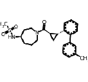 Cc1cccc(-c2ccccc2[C@@H]2C[C@H]2C(=O)N2CCC[C@@H](NS(C)(=O)=O)CC2)c1